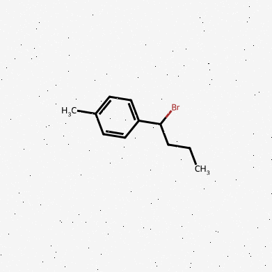 CCCC(Br)c1ccc(C)cc1